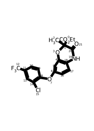 CCOC(=O)C1(C)Oc2cc(Oc3ccc(C(F)(F)F)cc3Cl)ccc2NC1=O